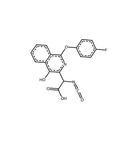 O=C=NC(C(=O)O)c1nc(Oc2ccc(F)cc2)c2ccccc2c1O